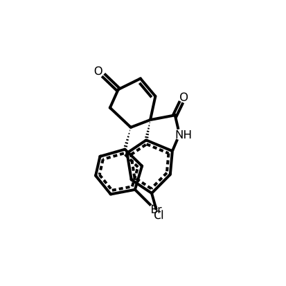 O=C1C=C[C@@]2(C(=O)Nc3cc(Cl)ccc32)[C@H](c2cccc(Br)c2)C1